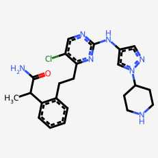 CC(C(N)=O)c1ccccc1CCc1nc(Nc2cnn(C3CCNCC3)c2)ncc1Cl